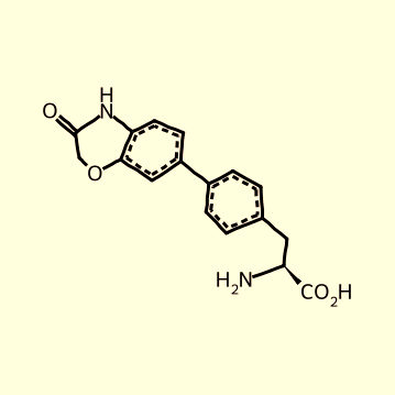 N[C@@H](Cc1ccc(-c2ccc3c(c2)OCC(=O)N3)cc1)C(=O)O